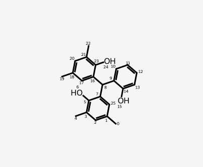 Cc1cc(C)c(O)c(C(c2ccccc2O)c2cc(C)cc(C)c2O)c1